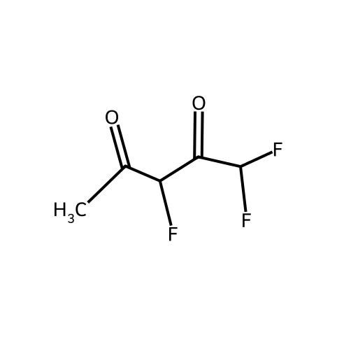 CC(=O)C(F)C(=O)C(F)F